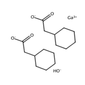 O=C([O-])CC1CCCCC1.O=C([O-])CC1CCCCC1.[Ga+3].[OH-]